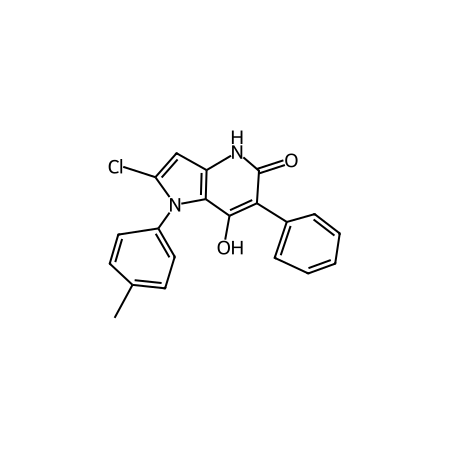 Cc1ccc(-n2c(Cl)cc3[nH]c(=O)c(-c4ccccc4)c(O)c32)cc1